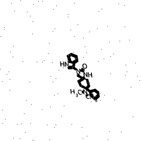 CN(C)[C@]1(c2ccccc2)CC[C@@]2(CC1)CN(c1c[nH]c3ccccc13)C(=O)N2